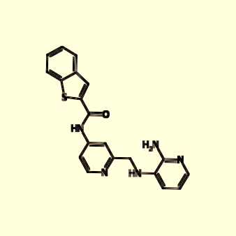 Nc1ncccc1NCc1cc(NC(=O)c2cc3ccccc3s2)ccn1